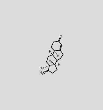 C=C1CC[C@H]2[C@@H]3CCC4=CC(=O)CC[C@@H]4[C@H]3CC[C@]12C